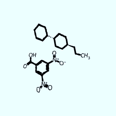 CCC[C@H]1CC[C@H](C2CCCCC2)CC1.O=C(O)c1cc([N+](=O)[O-])cc([N+](=O)[O-])c1